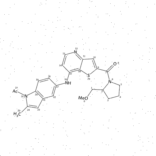 COCC1CCCN1C(=O)c1cc2nccc(Nc3ccc4c(c3)cc(C)n4C(C)=O)c2s1